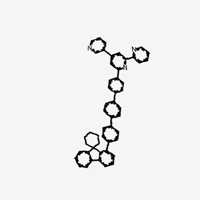 c1ccc(-c2cc(-c3cccnc3)cc(-c3ccc(-c4ccc(-c5ccc(-c6cccc7c6C6(CCCCC6)c6ccccc6-7)cc5)cc4)cc3)n2)nc1